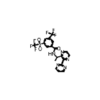 CC(NC(=O)c1cc(C(F)(F)F)cc(S(=O)(=O)C(F)(F)F)c1)c1nccnc1-c1ncccn1